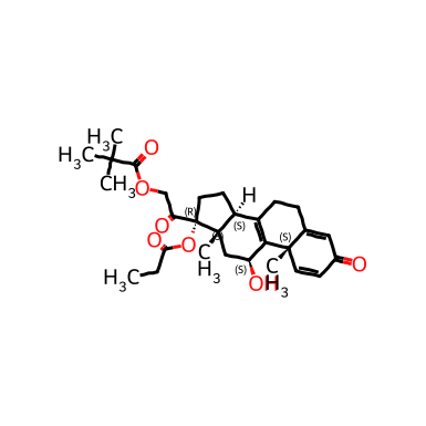 CCC(=O)O[C@]1(C(=O)COC(=O)C(C)(C)C)CC[C@H]2C3=C([C@@H](O)C[C@@]21C)[C@@]1(C)C=CC(=O)C=C1CC3